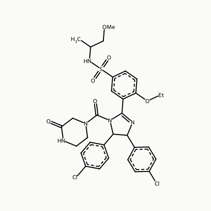 CCOc1ccc(S(=O)(=O)NC(C)COC)cc1C1=NC(c2ccc(Cl)cc2)C(c2ccc(Cl)cc2)N1C(=O)N1CCNC(=O)C1